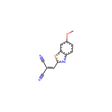 COc1ccc2nc(C=C(C#N)C#N)sc2c1